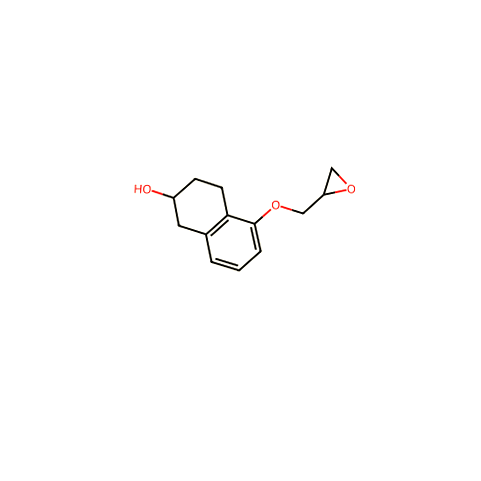 OC1CCc2c(cccc2OCC2CO2)C1